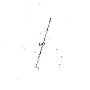 CCCCCCCCCCCCCCCOC(=O)CCCCCCCCCCCCC(C)CC